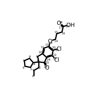 CCCC1(C2CCCC2)Cc2cc(OCCCC(=O)O)c(Cl)c(Cl)c2C1=O